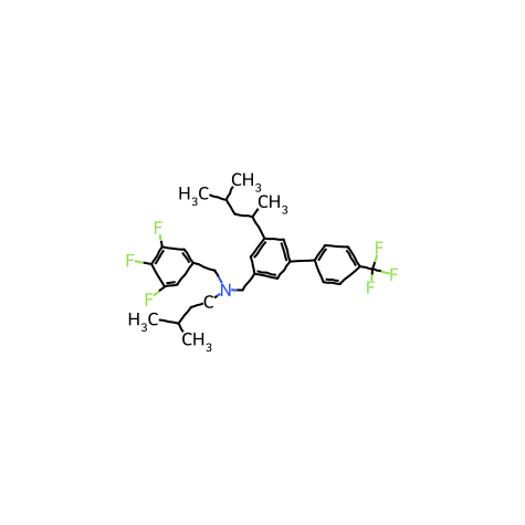 CC(C)CCN(Cc1cc(-c2ccc(C(F)(F)F)cc2)cc(C(C)CC(C)C)c1)Cc1cc(F)c(F)c(F)c1